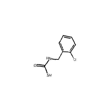 O=C(S)NCc1ccccc1Cl